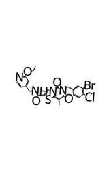 CCOc1cc(CNC(=O)c2cn3c(=O)n(Cc4ccc(Cl)c(Br)c4)c(=O)c(C)c3s2)ccn1